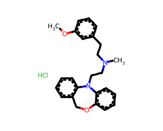 COc1cccc(CCN(C)CCN2c3ccccc3COc3ccccc32)c1.Cl